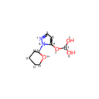 OB(O)Oc1ccnn1C1CCCCO1